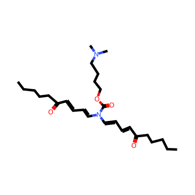 CCCCCC(=O)C=CC=CN(C=CC=CC(=O)CCCCC)C(=O)OCCCCN(C)C